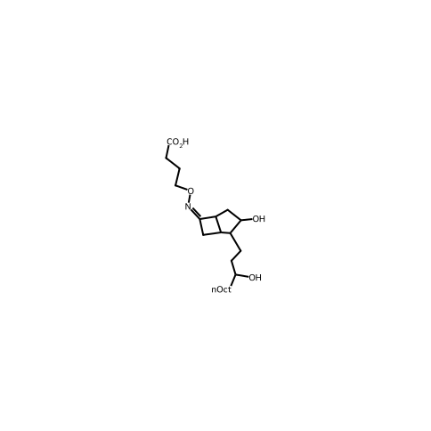 CCCCCCCCC(O)CCC1C(O)CC2C(=NOCCCC(=O)O)CC21